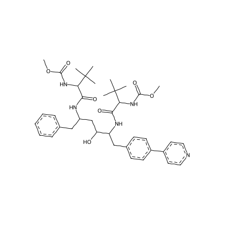 COC(=O)NC(C(=O)NC(Cc1ccccc1)CC(O)C(Cc1ccc(-c2ccncc2)cc1)NC(=O)C(NC(=O)OC)C(C)(C)C)C(C)(C)C